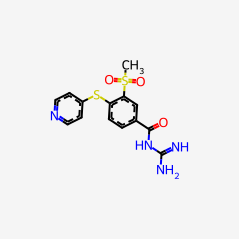 CS(=O)(=O)c1cc(C(=O)NC(=N)N)ccc1Sc1ccncc1